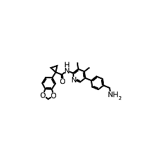 Cc1c(-c2ccc(CN)cc2)cnc(NC(=O)C2(c3ccc4c(c3)OCO4)CC2)c1C